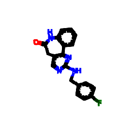 O=C1Cc2cnc(NCc3ccc(F)cc3)nc2-c2ccccc2N1